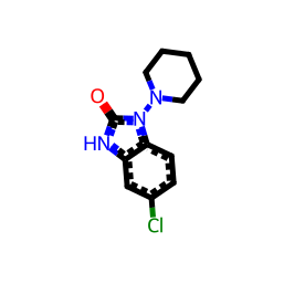 O=c1[nH]c2cc(Cl)ccc2n1N1CCCCC1